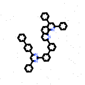 c1ccc(-c2ccc(-c3cc(-c4ccccc4)nc(-c4cccc(-c5cccc(-c6ccc7ccc8c(-c9ccccc9)cc(-c9ccccc9)nc8c7n6)c5)c4)n3)cc2)cc1